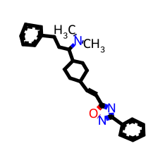 CN(C)C(CCc1ccccc1)C1CCC(/C=C/c2nc(-c3ccccc3)no2)CC1